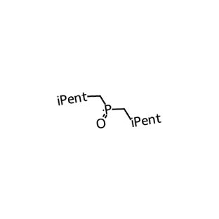 CCCC(C)C[P](=O)CC(C)CCC